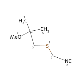 [C-]#[N+]CSCC(C)(C)OC